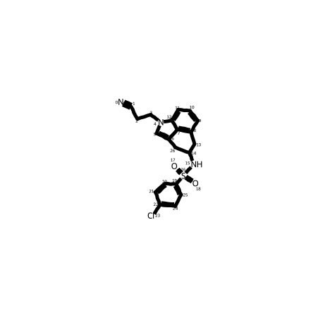 N#CCCn1cc2c3c(cccc31)CC(NS(=O)(=O)c1ccc(Cl)cc1)C2